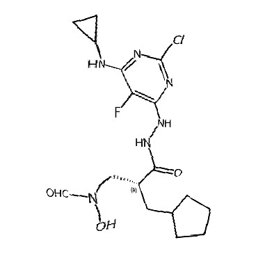 O=CN(O)C[C@@H](CC1CCCC1)C(=O)NNc1nc(Cl)nc(NC2CC2)c1F